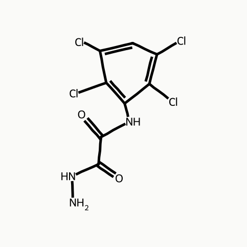 NNC(=O)C(=O)Nc1c(Cl)c(Cl)cc(Cl)c1Cl